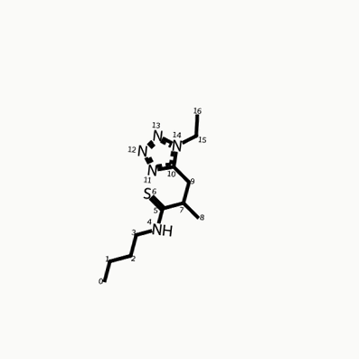 CCCCNC(=S)C(C)Cc1nnnn1CC